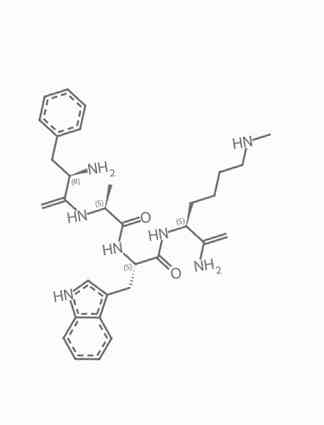 C=C(N[C@@H](C)C(=O)N[C@@H](Cc1c[nH]c2ccccc12)C(=O)N[C@@H](CCCCNC)C(=C)N)[C@H](N)Cc1ccccc1